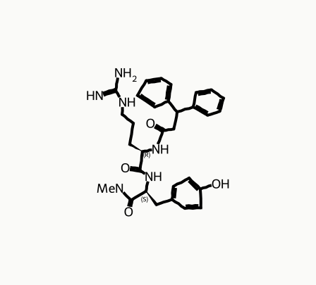 CNC(=O)[C@H](Cc1ccc(O)cc1)NC(=O)[C@@H](CCCNC(=N)N)NC(=O)CC(c1ccccc1)c1ccccc1